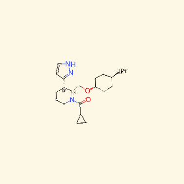 CC(C)[C@H]1CC[C@@H](OC[C@H]2[C@@H](c3cc[nH]n3)CCCN2C(=O)C2CC2)CC1